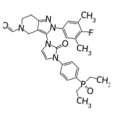 CCP(=O)(CC)c1ccc(-n2ccn(-c3c4c(nn3-c3cc(C)c(F)c(C)c3)CCN(C=O)C4)c2=O)cc1